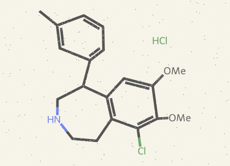 COc1cc2c(c(Cl)c1OC)CCNCC2c1cccc(C)c1.Cl